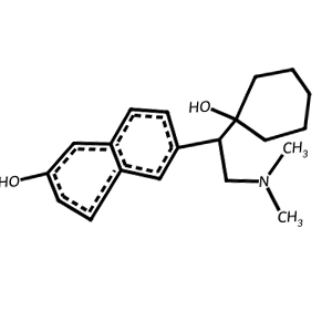 CN(C)CC(c1ccc2cc(O)ccc2c1)C1(O)CCCCC1